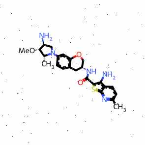 CO[C@H]1[C@@H](C)N(c2ccc3c(c2)OC[C@H](NC(=O)c2sc4nc(C)ccc4c2N)C3)C[C@@H]1N